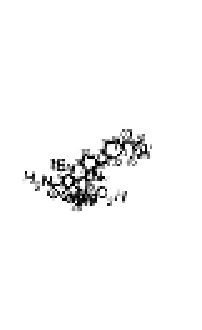 COc1c(C(N)=O)cc(C(C)(C)C)c(-c2c(C(=O)O)n(C)c3c(CC4CCCN(C(=O)[C@H]5CCCN5C)CC4)cccc23)c1NS(C)(=O)=O